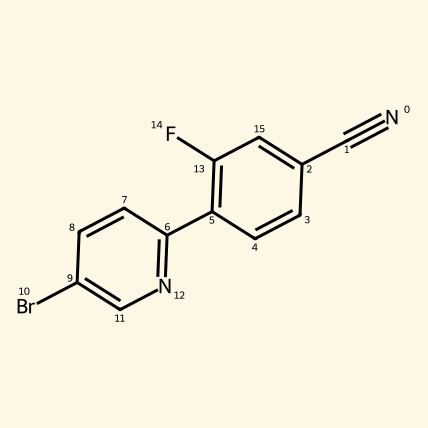 N#Cc1ccc(-c2ccc(Br)cn2)c(F)c1